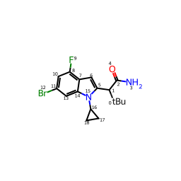 CC(C)(C)C(C(N)=O)c1cc2c(F)cc(Br)cc2n1C1CC1